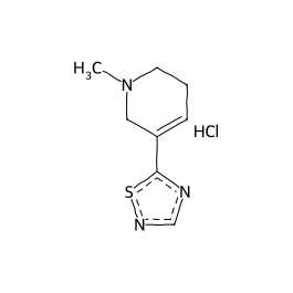 CN1CCC=C(c2ncns2)C1.Cl